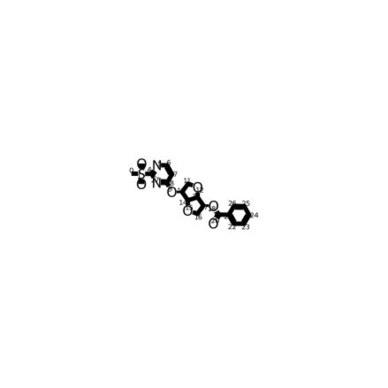 CS(=O)(=O)c1nccc(O[C@H]2COC3C2OC[C@@H]3OC(=O)c2ccccc2)n1